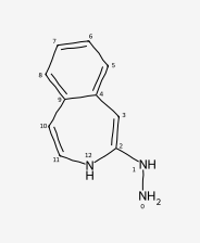 NNC1=Cc2ccccc2C=CN1